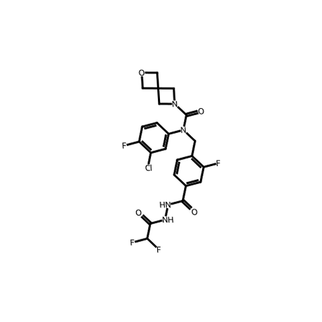 O=C(NNC(=O)C(F)F)c1ccc(CN(C(=O)N2CC3(COC3)C2)c2ccc(F)c(Cl)c2)c(F)c1